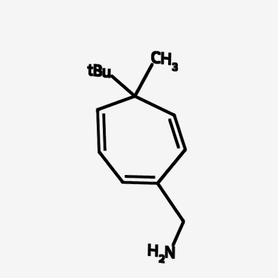 CC(C)(C)C1(C)C=CC=C(CN)C=C1